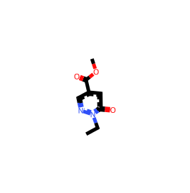 CCn1ncc(C(=O)OC)cc1=O